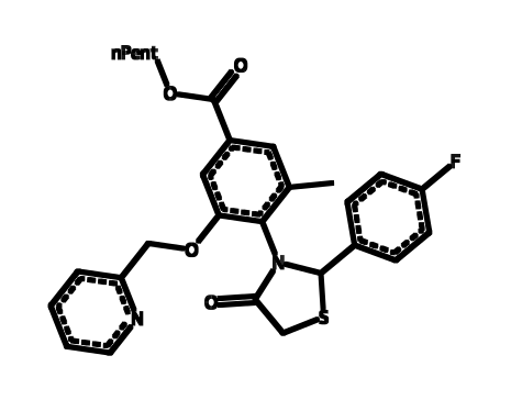 CCCCCOC(=O)c1cc(C)c(N2C(=O)CSC2c2ccc(F)cc2)c(OCc2ccccn2)c1